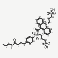 CCCNC(=O)CCCc1ccc(S(=O)(=O)N(CCCS(=O)(=O)O)C(=O)c2c3ccccc3[n+](CCCS(=O)(=O)O)c3ccccc23)cc1